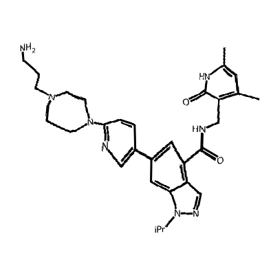 Cc1cc(C)c(CNC(=O)c2cc(-c3ccc(N4CCN(CCCN)CC4)nc3)cc3c2cnn3C(C)C)c(=O)[nH]1